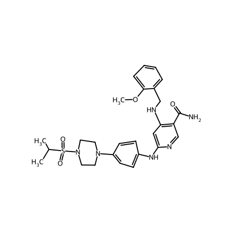 COc1ccccc1CNc1cc(Nc2ccc(N3CCN(S(=O)(=O)C(C)C)CC3)cc2)ncc1C(N)=O